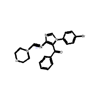 O=C(c1ccccc1)c1c(/N=C/N2CCOCC2)ncn1-c1ccc(Br)cc1